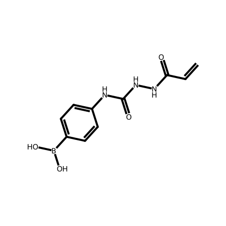 C=CC(=O)NNC(=O)Nc1ccc(B(O)O)cc1